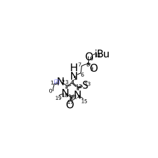 C/C=N\c1c(NCCC(=O)OC(C)CC)c(=S)n(C)c(=O)n1C